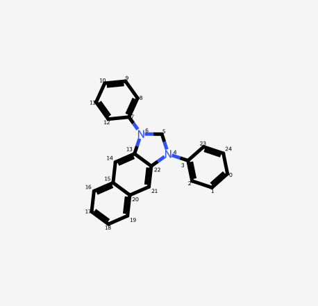 c1ccc(N2CN(c3ccccc3)c3cc4ccccc4cc32)cc1